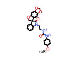 CCCCOc1ccc(NC(=O)NCCN2C(=O)C3(COc4cc5c(cc43)OCO5)c3ccccc32)cc1